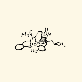 C=CCN1CC[C@]23c4c5ccc(O)c4OC2C(N(C)C(=O)Cc2ccccc2Br)CC[C@@]3(O)[C@H]1C5